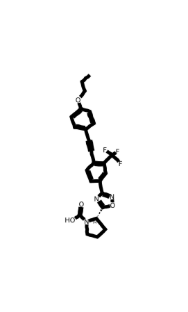 CCCOc1ccc(C#Cc2ccc(-c3noc([C@@H]4CCCN4C(=O)O)n3)cc2C(F)(F)F)cc1